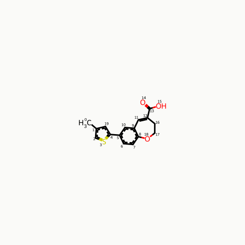 Cc1csc(-c2ccc3c(c2)C=C(C(=O)O)CCO3)c1